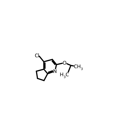 CC(C)Oc1cc(Cl)c2c(n1)CCC2